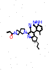 C=CC(=O)N1CC2(CCN(c3nc4c(c(-c5c(C)ccc6[nH]ncc56)c3C#N)C[C@@H](CCC)C4)C2)C1